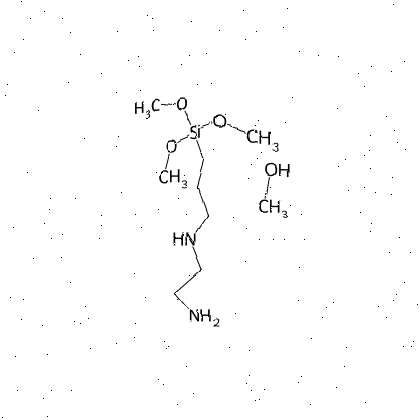 CO.CO[Si](CCCNCCN)(OC)OC